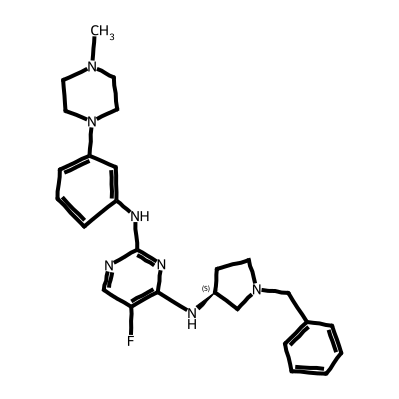 CN1CCN(c2cccc(Nc3ncc(F)c(N[C@H]4CCN(Cc5ccccc5)C4)n3)c2)CC1